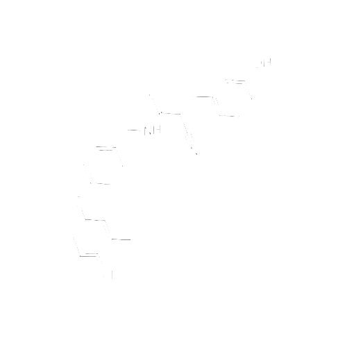 Cc1cc(Oc2ccc(CNC(=O)/C(C#N)=C/c3cccc(O)c3)cc2)cc(C)c1Cl